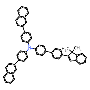 CC1(C)C(c2ccc(-c3ccc(N(c4ccc(-c5ccc6ccccc6c5)cc4)c4ccc(-c5ccc6ccccc6c5)cc4)cc3)cc2)=Cc2ccccc21